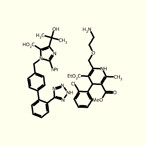 CCCc1nc(C(C)(C)O)c(C(=O)O)n1Cc1ccc(-c2ccccc2-c2nn[nH]n2)cc1.CCOC(=O)C1=C(COCCN)NC(C)=C(C(=O)OC)C1c1ccccc1Cl